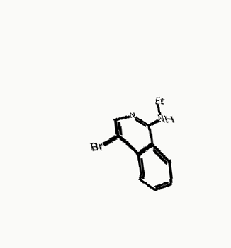 CCNc1ncc(Br)c2ccccc12